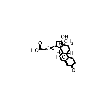 C[C@]12CC[C@H]3[C@@H](CCC4=CC(=O)CC[C@@]43C)[C@@H]1C(SCCC(=O)O)C[C@@H]2O